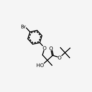 CC(C)(C)OC(=O)C(C)(O)COc1ccc(Br)cc1